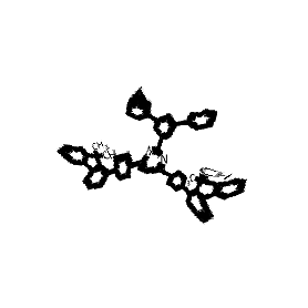 CC1(C)c2ccccc2-c2cccc(-c3ccc(-c4cc(-c5ccc(-c6cccc7c6C(C)(C)c6ccccc6-7)cc5)nc(-c5cc(-c6ccccc6)cc(-c6ccccc6)c5)n4)cc3)c21